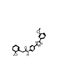 COc1cccc(-c2noc(-c3ccc(NC(=O)Cc4ccccc4OC)cc3)n2)c1